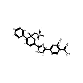 CC1(CS(C)(=O)=O)CC(c2nc(-c3ccc(C(=O)O)c(Cl)c3)no2)=CC=C1c1ccccc1